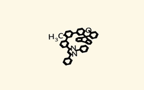 Cc1ccc(-c2ccc3c(c2)C2(c4ccccc4O3)c3ccccc3-c3ccccc32)cc1-c1cccc(-c2cc(-c3ccccc3)nc(-c3ccccc3)n2)c1